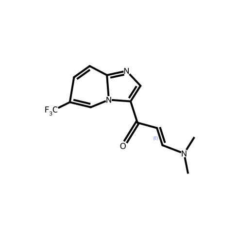 CN(C)/C=C/C(=O)c1cnc2ccc(C(F)(F)F)cn12